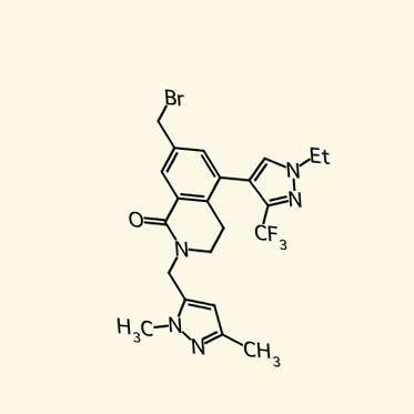 CCn1cc(-c2cc(CBr)cc3c2CCN(Cc2cc(C)nn2C)C3=O)c(C(F)(F)F)n1